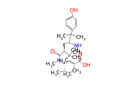 CNC(C[C@H](C(=O)N(C)[C@H](/C=C(\C)C(=O)O)C(C)C)C(C)(C)C)C(C)(C)c1ccc(O)cc1